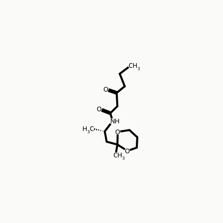 CCCC(=O)CC(=O)N[C@@H](C)CC1(C)OCCCO1